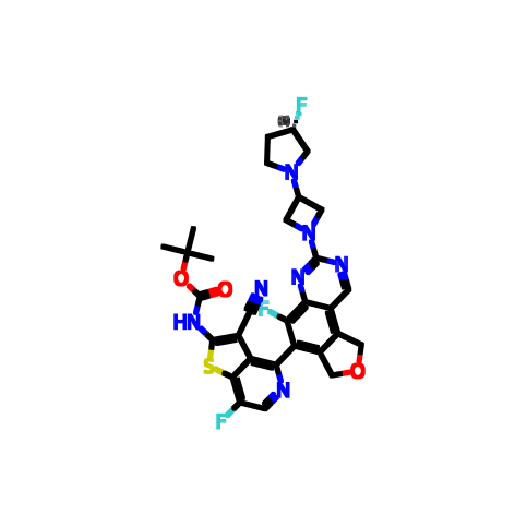 CC(C)(C)OC(=O)Nc1sc2c(F)cnc(-c3c4c(c5cnc(N6CC(N7CC[C@H](F)C7)C6)nc5c3F)COC4)c2c1C#N